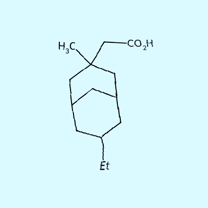 CCC1CC2CC(C1)CC(C)(CC(=O)O)C2